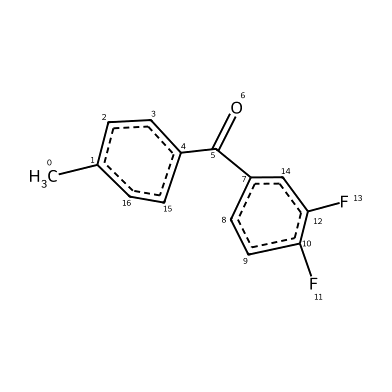 Cc1ccc(C(=O)c2ccc(F)c(F)c2)cc1